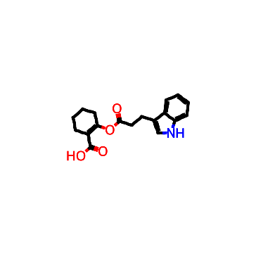 O=C(CCc1c[nH]c2ccccc12)OC1=C(C(=O)O)CCCC1